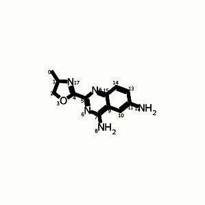 CC1COC(c2nc(N)c3cc(N)ccc3n2)=N1